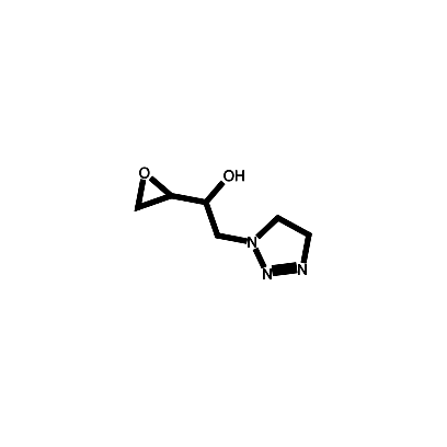 OC(CN1CCN=N1)C1CO1